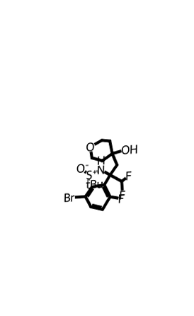 CC(C)(C)[S+]([O-])NC(CC1(O)CCOCC1)(c1cc(Br)ccc1F)C(F)F